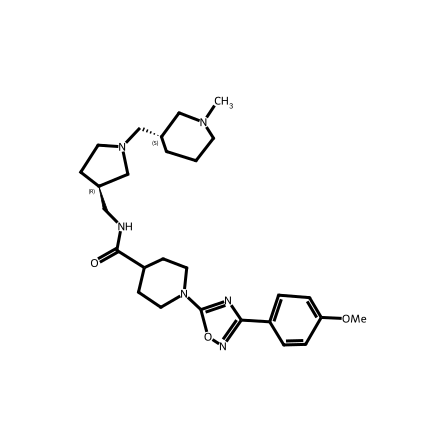 COc1ccc(-c2noc(N3CCC(C(=O)NC[C@H]4CCN(C[C@H]5CCCN(C)C5)C4)CC3)n2)cc1